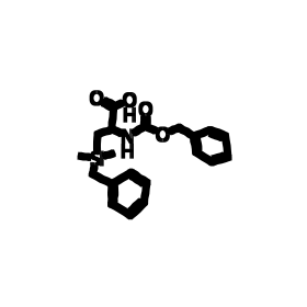 C[Si](C)(Cc1ccccc1)CC(NC(=O)OCc1ccccc1)C(=O)O